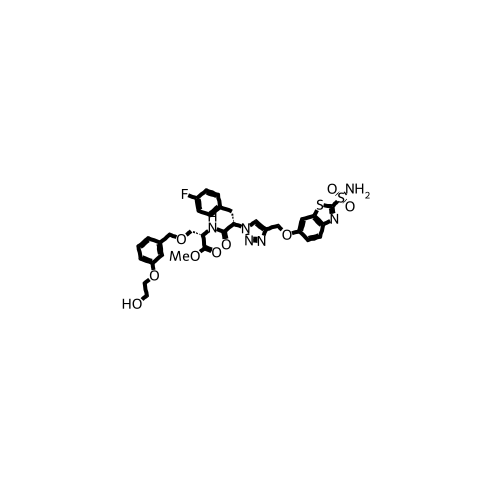 COC(=O)[C@H](COCc1cccc(OCCO)c1)NC(=O)[C@H](Cc1ccc(F)cc1)n1cc(COc2ccc3nc(S(N)(=O)=O)sc3c2)nn1